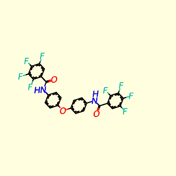 O=C(Nc1ccc(Oc2ccc(NC(=O)c3cc(F)c(F)c(F)c3F)cc2)cc1)c1cc(F)c(F)c(F)c1F